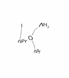 CCCI.CCCON